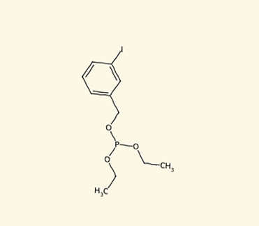 CCOP(OCC)OCc1cccc(I)c1